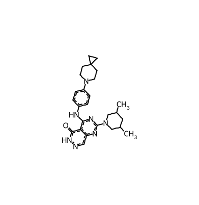 CC1CC(C)CN(c2nc(Nc3ccc(N4CCC5(CC4)CC5)cc3)c3c(=O)[nH]ncc3n2)C1